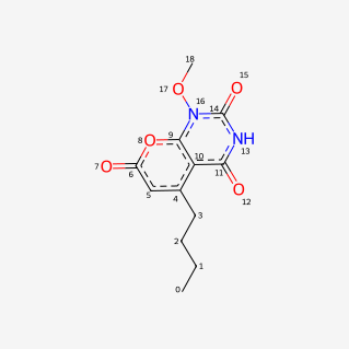 CCCCc1cc(=O)oc2c1c(=O)[nH]c(=O)n2OC